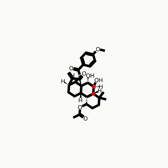 C=C1C(=O)[C@]23[C@H](OC(=O)c4ccc(OC)cc4)[C@H]1CC[C@H]2[C@@]12CO[C@@]3(O)[C@@H](O)[C@@H]1C(C)(C)CCC2OC(C)=O